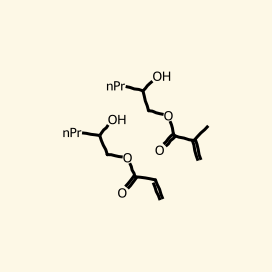 C=C(C)C(=O)OCC(O)CCC.C=CC(=O)OCC(O)CCC